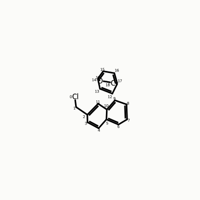 ClCc1ccc2ccccc2c1.c1cc2ccc1CO2